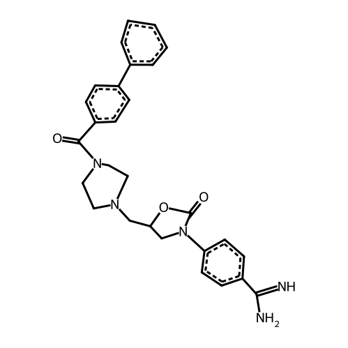 N=C(N)c1ccc(N2CC(CN3CCN(C(=O)c4ccc(-c5ccccc5)cc4)CC3)OC2=O)cc1